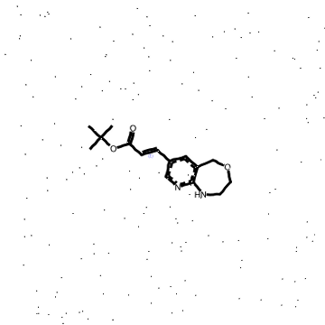 CC(C)(C)OC(=O)/C=C/c1cnc2c(c1)COCCN2